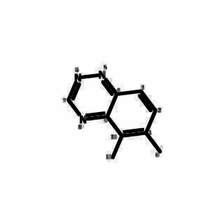 Cc1ccc2nncnc2c1C